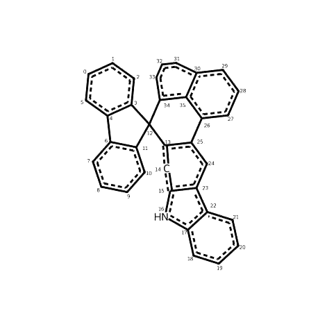 c1ccc2c(c1)-c1ccccc1C21c2cc3[nH]c4ccccc4c3cc2-c2cccc3cccc1c23